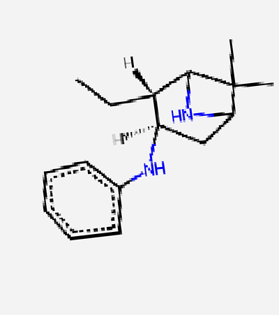 CC[C@@H]1C2NC(C[C@H]1Nc1ccccc1)C2(C)C